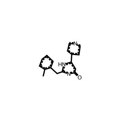 Cc1ccccc1Cc1nc(=O)cc(-c2ccncc2)[nH]1